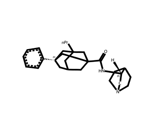 CCCC12CC3CC(C(=O)N[C@H]4CN5CCC4CC5)(C1)C[C@@](c1ccccc1)(C3)C2